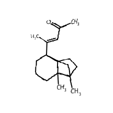 CC(=O)C=C(C)C12CCCC3(C)C1CCC3(C)C2